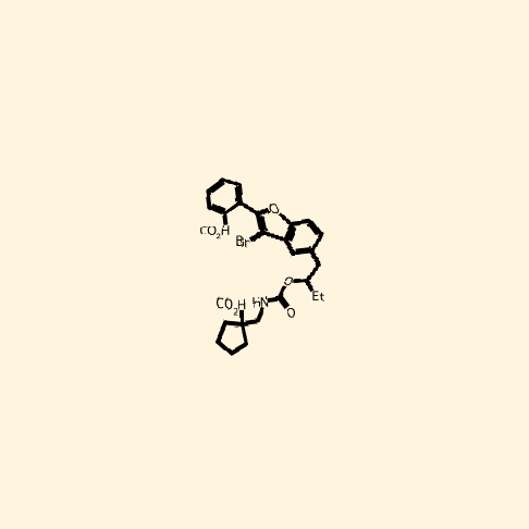 CCC(Cc1ccc2oc(-c3ccccc3C(=O)O)c(Br)c2c1)OC(=O)NCC1(C(=O)O)CCCC1